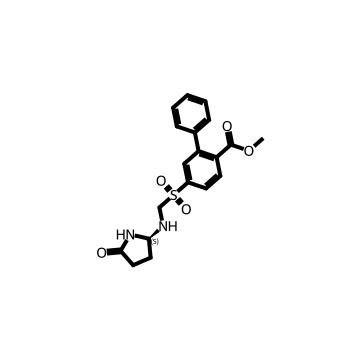 COC(=O)c1ccc(S(=O)(=O)CN[C@H]2CCC(=O)N2)cc1-c1ccccc1